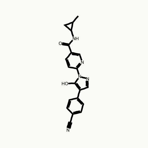 CC1CC1NC(=O)c1ccc(-n2ncc(-c3ccc(C#N)cc3)c2O)nc1